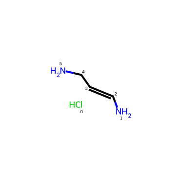 Cl.NC=CCN